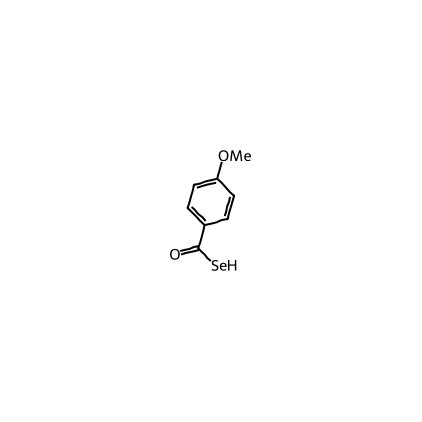 COc1ccc(C(=O)[SeH])cc1